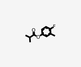 Cc1cc(OC(=O)C(C)C)ccc1F